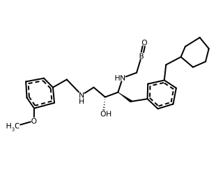 COc1cccc(CNC[C@@H](O)[C@H](Cc2cccc(CC3CCCCC3)c2)NCB=O)c1